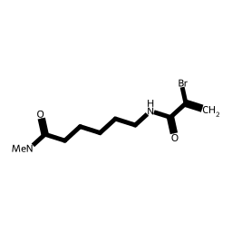 C=C(Br)C(=O)NCCCCCC(=O)NC